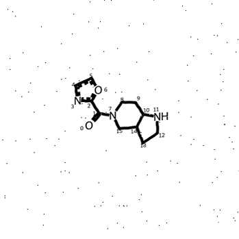 O=C(c1ncco1)N1CCC2NCCC2C1